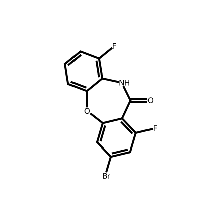 O=C1Nc2c(F)cccc2Oc2cc(Br)cc(F)c21